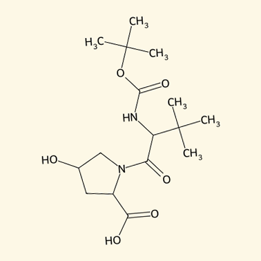 CC(C)(C)OC(=O)NC(C(=O)N1CC(O)CC1C(=O)O)C(C)(C)C